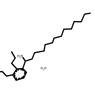 CCCCCCCCCCCCCC(N)c1cccc(CCC)c1CCC.O